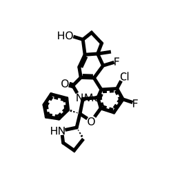 CNC(=O)C1=C(c2c(Cl)c(F)cc3c2C[C@](c2ccccc2)([C@@H]2CCCN2)O3)C(F)C2(C)CCC(O)C2=C1